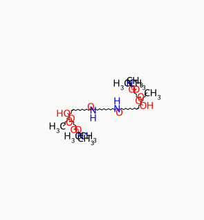 CCCCCC(OC(=O)CCCC(=O)OCC[N+](C)(C)C)C(O)C/C=C\CCCCCCCC(=O)NCCCCCCCCCCNC(=O)CCCCCCC/C=C\CC(O)C(CCCCC)OC(=O)CCCC(=O)OCC[N+](C)(C)C